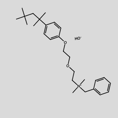 CC(C)(C)CC(C)(C)c1ccc(OCCOCC[N+](C)(C)Cc2ccccc2)cc1.[OH-]